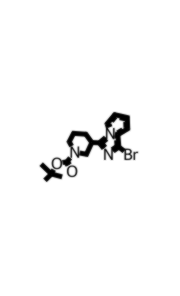 CC(C)(C)OC(=O)N1CCCC(c2nc(Br)c3ccccn23)C1